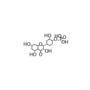 O=c1c(O)c(-c2ccc(OCP(=O)(O)O)c(O)c2)oc2cc(O)cc(O)c12